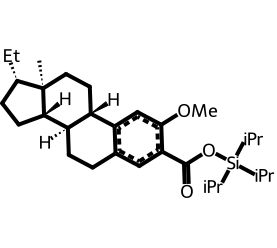 CC[C@H]1CC[C@H]2[C@@H]3CCc4cc(C(=O)O[Si](C(C)C)(C(C)C)C(C)C)c(OC)cc4[C@H]3CC[C@]12C